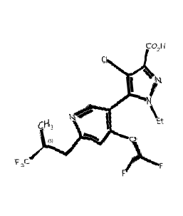 CCn1nc(C(=O)O)c(Cl)c1-c1cnc(C[C@H](C)C(F)(F)F)cc1OC(F)F